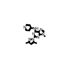 Cc1cc(C)n(-c2nc(Nc3ccncc3)c3ncn(C)c3n2)n1